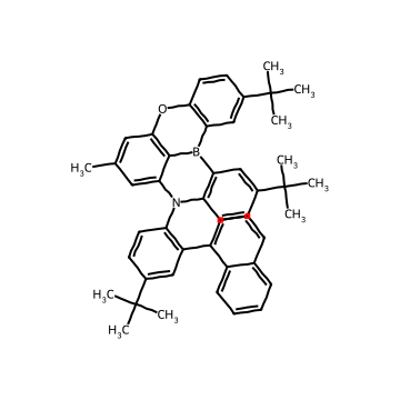 Cc1cc2c3c(c1)N(c1ccc(C(C)(C)C)cc1-c1cccc4ccccc14)c1ccc(C(C)(C)C)cc1B3c1cc(C(C)(C)C)ccc1O2